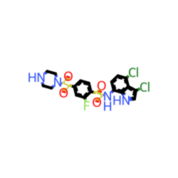 O=S(=O)(Nc1ccc(Cl)c2c(Cl)c[nH]c12)c1ccc(S(=O)(=O)N2CCNCC2)cc1F